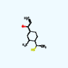 C=CC(=O)C1CCC(C(C)S)C(C)C1